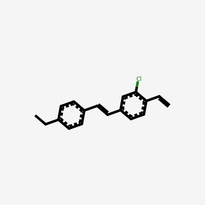 C=Cc1ccc(/C=C/c2ccc(CC)cc2)cc1Cl